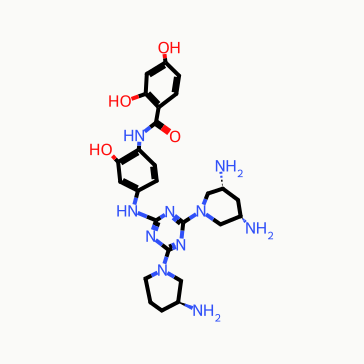 N[C@@H]1C[C@H](N)CN(c2nc(Nc3ccc(NC(=O)c4ccc(O)cc4O)c(O)c3)nc(N3CCC[C@H](N)C3)n2)C1